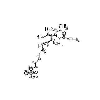 Cc1cc(N2CC(C)OC(C)C2C)c(C)cc1NC(=O)CCCCNS(=O)(=O)C(C)(C)C